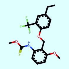 CCc1ccc(OCc2c(NC(=S)OC)cccc2OC)c(C(F)(F)F)c1